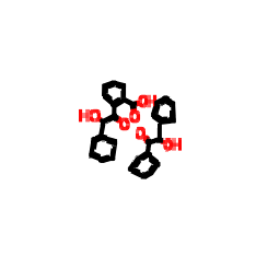 O=C(O)c1ccccc1C(=O)C(O)c1ccccc1.O=C(c1ccccc1)C(O)c1ccccc1